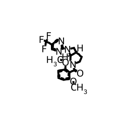 COc1cccc(OC)c1C(=O)N1CC[C@H]2CN(c3ncc(C(F)(F)F)cn3)[C@H]2C1